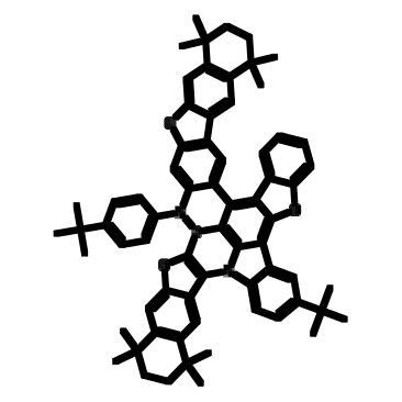 CC(C)(C)c1ccc(N2B3c4oc5cc6c(cc5c4-n4c5ccc(C(C)(C)C)cc5c5c7oc8ccccc8c7c(c3c54)-c3cc4c(cc32)oc2cc3c(cc24)C(C)(C)CCC3(C)C)C(C)(C)CCC6(C)C)cc1